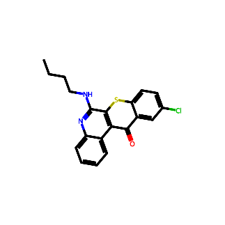 CCCCNc1nc2ccccc2c2c(=O)c3cc(Cl)ccc3sc12